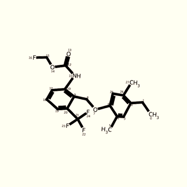 CCc1cc(C)c(OCc2c(NC(=O)OCF)cccc2C(F)(F)F)cc1C